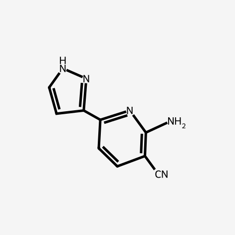 N#Cc1ccc(-c2cc[nH]n2)nc1N